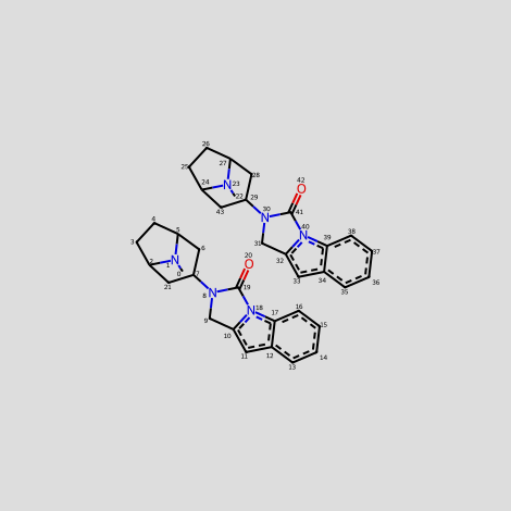 CN1C2CCC1CC(N1Cc3cc4ccccc4n3C1=O)C2.CN1C2CCC1CC(N1Cc3cc4ccccc4n3C1=O)C2